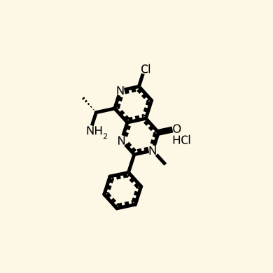 C[C@@H](N)c1nc(Cl)cc2c(=O)n(C)c(-c3ccccc3)nc12.Cl